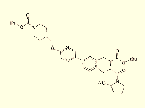 CC(C)OC(=O)N1CCC(COc2ccc(-c3ccc4c(c3)CN(C(=O)OC(C)(C)C)C(C(=O)N3CCCC3C#N)C4)cn2)CC1